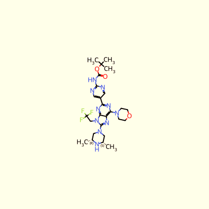 C[C@@H]1CN(c2nc3c(N4CCOCC4)nc(-c4cnc(NC(=O)OC(C)(C)C)nc4)nc3n2CC(F)(F)F)C[C@H](C)N1